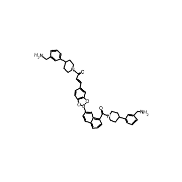 NCc1cccc(C2CCN(C(=O)/C=C/c3ccc4c(c3)OB(c3ccc5cccc(C(=O)N6CCC(c7cccc(CN)c7)CC6)c5c3)O4)CC2)c1